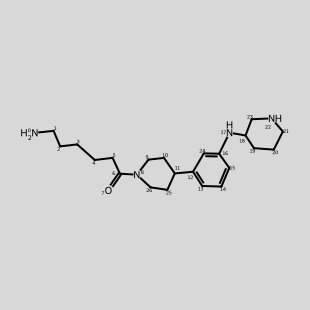 NCCCCCC(=O)N1CCC(c2cccc(NC3CCCNC3)c2)CC1